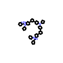 c1ccc(-c2nc3cc(-c4cccc(-c5ccc(N(c6ccccc6)c6ccc(-c7cccc(-c8ccc9c(c8)NC(c8ccccc8)N9c8ccccc8)c7)cc6)cc5)c4)ccc3n2-c2ccccc2)cc1